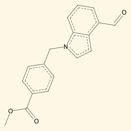 COC(=O)c1ccc(Cn2ccc3c(C=O)cccc32)cc1